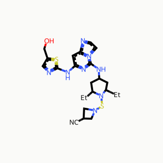 CCC1CC(Nc2nc(Nc3ncc(CO)s3)cc3nccn23)CC(CC)N1SN1CC(C#N)C1